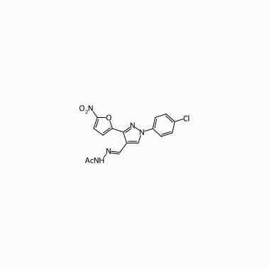 CC(=O)N/N=C/c1cn(-c2ccc(Cl)cc2)nc1-c1ccc([N+](=O)[O-])o1